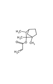 C=CC(=O)OC1(C)C(C)C2CCC1(C)C2